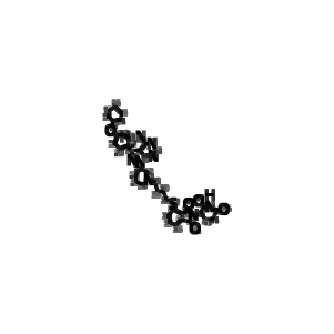 Nc1ncnc2c1c(-c1ccc(Oc3ccccc3)cc1)nn2C1CCCN(CCCCSc2cccc3c2C(=O)N(C2CCC(=O)NC2=O)C3=O)C1